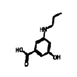 CCCNc1cc(O)cc(C(=O)O)c1